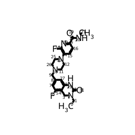 CCN1Cc2c(F)cc(CN3CCN(c4ccc(C(=O)NC)nc4F)CC3)cc2NC1=O